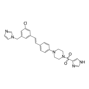 O=S(=O)(c1c[nH]cn1)N1CCN(c2ccc(C=Cc3cc(Cl)cc(Cn4ccnc4)c3)cc2)CC1